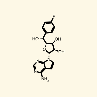 Nc1ncnc2c1ccn2[C@@H]1O[C@H]([C@H](O)c2ccc(F)cc2)[C@@H](O)[C@H]1O